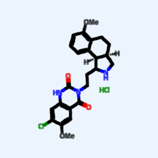 COc1cc2c(=O)n(CCC3NC[C@@H]4CCc5c(OC)cccc5[C@H]34)c(=O)[nH]c2cc1Cl.Cl